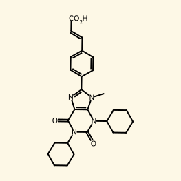 Cn1c(-c2ccc(/C=C/C(=O)O)cc2)nc2c(=O)n(C3CCCCC3)c(=O)n(C3CCCCC3)c21